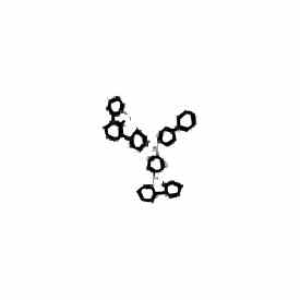 C1=CC2c3ccccc3N(c3ccc(N(c4ccc(-c5ccccc5)cc4)c4ccc(-c5cccc6c5oc5ccccc56)cc4)cc3)C2C=C1